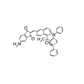 CC1(C)c2cc(-c3ccccc3)ccc2N(c2ccccc2)c2ccc3cc(/C=C4/C(=O)c5ccc(N)cc5C4=O)ccc3c21